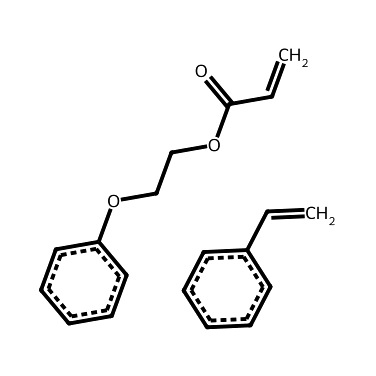 C=CC(=O)OCCOc1ccccc1.C=Cc1ccccc1